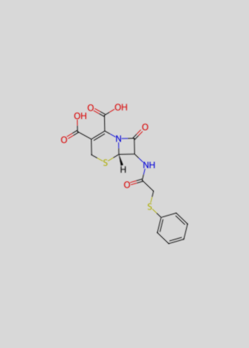 O=C(CSc1ccccc1)NC1C(=O)N2C(C(=O)O)=C(C(=O)O)CS[C@@H]12